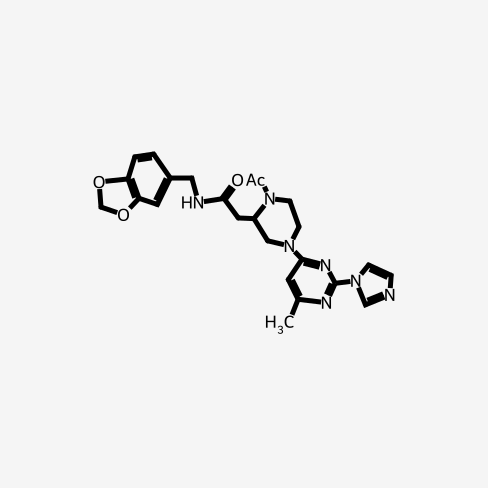 CC(=O)N1CCN(c2cc(C)nc(-n3ccnc3)n2)CC1CC(=O)NCc1ccc2c(c1)OCO2